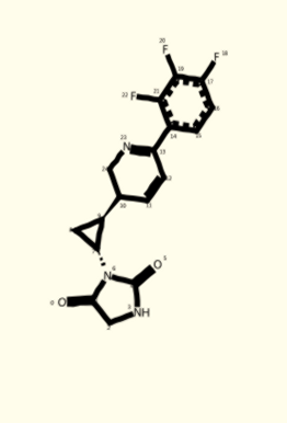 O=C1CNC(=O)N1[C@@H]1C[C@H]1C1C=CC(c2ccc(F)c(F)c2F)=NC1